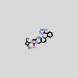 CCCCc1cn(C2C(C(C)C)CC2C(C)C)c(=O)n1Cc1ccc(-c2ccccc2-c2nnn[nH]2)nc1